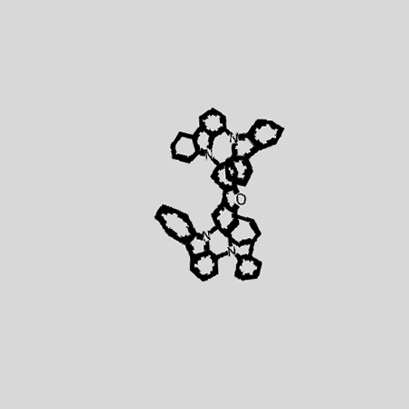 C1=Cc2c(c3cccc(-n4c5ccccc5c5ccccc54)c3n2-c2ccc3oc4ccc(-n5c6ccccc6c6cccc(N7c8ccccc8C8=CC7CCC=C8)c65)cc4c3c2)CC1